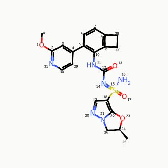 COc1cc(-c2ccc3c(c2NC(=O)N=[S@@](N)(=O)c2cnn4c2O[C@@H](C)C4)CC3)ccn1